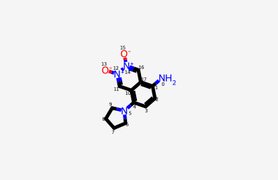 Nc1ccc(N2CCCC2)c2c[n+]([O-])[n+]([O-])cc12